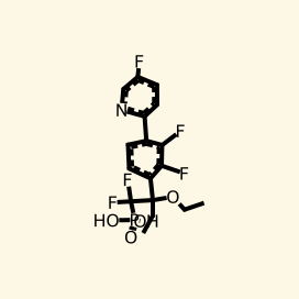 CCOC(CC)(c1ccc(-c2ccc(F)cn2)c(F)c1F)C(F)(F)P(=O)(O)O